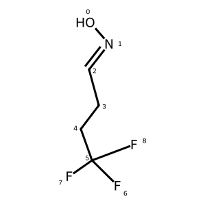 ON=CCCC(F)(F)F